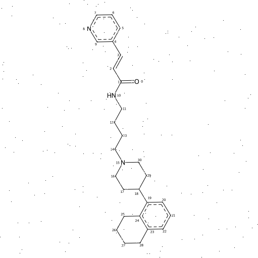 O=C(C=Cc1cccnc1)NCCCCN1CCC(c2cccc3c2CCCC3)CC1